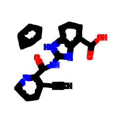 C#Cc1cccnc1C(=O)Nc1nc2c(C(=O)O)cccc2[nH]1.c1cc2cc-2c1